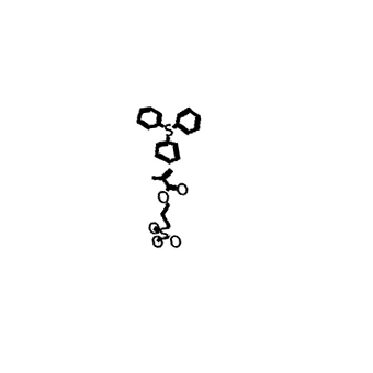 C=C(C)C(=O)OCCCS(=O)(=O)[O-].c1ccc([S+](c2ccccc2)c2ccccc2)cc1